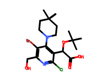 CC1(C)CCN(c2c(Br)c(CO)nc(Cl)c2C(OC(C)(C)C)C(=O)O)CC1